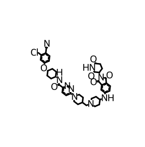 N#Cc1ccc(O[C@H]2CC[C@H](NC(=O)c3ccc(N4CCC(CN5CCC(Nc6ccc7c(c6)C(=O)N(C6CCC(=O)NC6=O)C7=O)CC5)CC4)nn3)CC2)cc1Cl